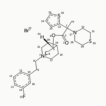 CC(C(=O)O[C@H]1C[N+]2(CCc3cccc(F)c3)CCC1CC2)(c1cccs1)N1CCSCC1.[Br-]